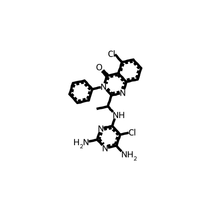 CC(Nc1nc(N)nc(N)c1Cl)c1nc2cccc(Cl)c2c(=O)n1-c1ccccc1